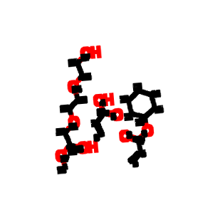 C=CC(=O)O.C=CC(=O)OC1CCCCC1.COC(O)COCCOCCO